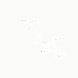 C=C(C)C(=O)OCOC(=O)NCC1(C)CC(N=C=O)CC(C)(C)C1